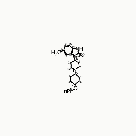 CCCO[C@H]1CC[C@H](N2CCC(n3c(=O)[nH]c4ccc(C)cc43)CC2)CC1